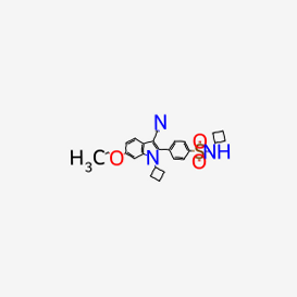 CCOc1ccc2c(C#N)c(-c3ccc(S(=O)(=O)NC4CCC4)cc3)n(C3CCC3)c2c1